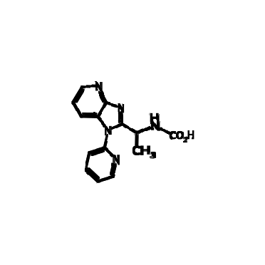 CC(NC(=O)O)c1nc2ncccc2n1-c1ccccn1